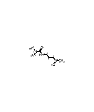 CCCN(CCC)C(=O)NCCC[Si](C)=O